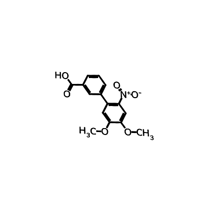 COc1cc(-c2cccc(C(=O)O)c2)c([N+](=O)[O-])cc1OC